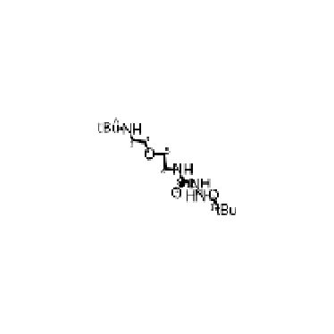 CC(C)(C)NCCOCCNC(=O)NNOC(C)(C)C